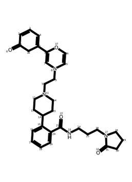 O=C1C=CC=C(C2=CN(CCN3CCC(c4ccccc4C(=O)NCCCN4CCCC4=O)CC3)C=CO2)C1